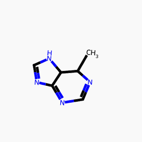 CC1N=CN=C2N=CNC21